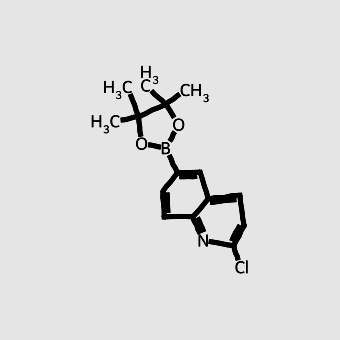 CC1(C)OB(c2ccc3nc(Cl)ccc3c2)OC1(C)C